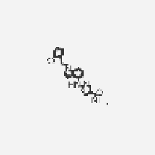 COc1ccccc1CCn1ccc2c(Nc3ncc(C(N)=O)cn3)cccc21